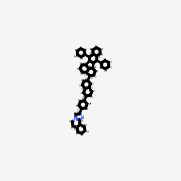 c1ccc(-c2c3c(c(-c4ccccc4)c4ccccc24)-c2ccc(-c4ccc5cc(-c6ccc(-c7cn8ccc9ccccc9c8n7)cc6)ccc5c4)c4cccc-3c24)cc1